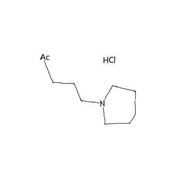 CC(=O)CCCN1CCCCC1.Cl